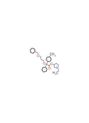 CCN1CCC(OC(=O)C(OCCCOCc2ccccc2)(c2ccccc2)c2ccc(C)cc2)C1